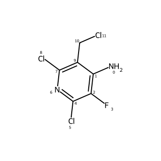 Nc1c(F)c(Cl)nc(Cl)c1CCl